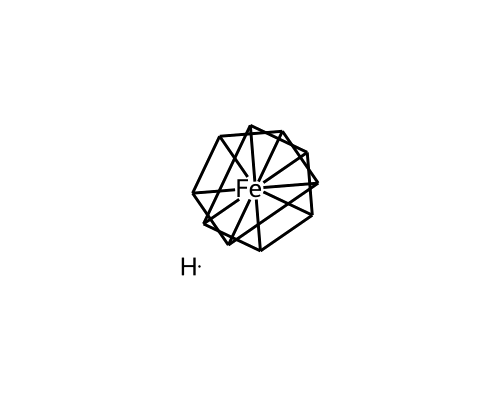 [CH]12[CH]3[CH]4[CH]5[CH]1[Fe]23451678[CH]2[CH]1[CH]6[CH]7[CH]28.[H]